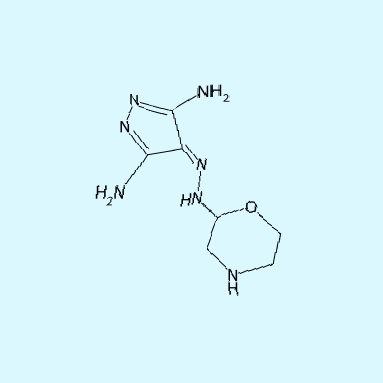 NC1=NN=C(N)C1=NNC1CNCCO1